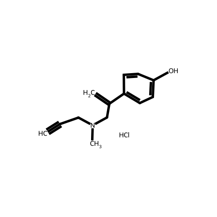 C#CCN(C)CC(=C)c1ccc(O)cc1.Cl